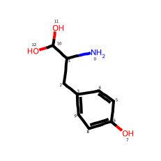 NC(Cc1ccc(O)cc1)C(O)O